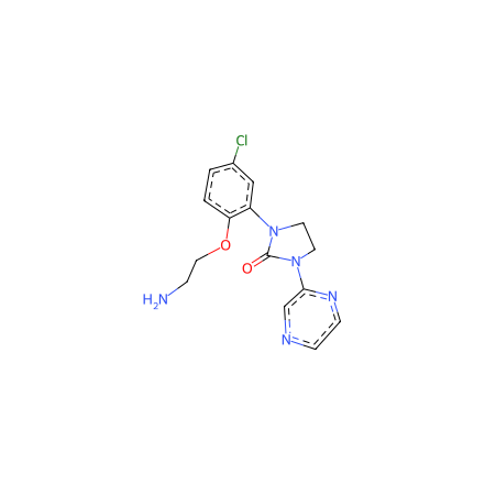 NCCOc1ccc(Cl)cc1N1CCN(c2cnccn2)C1=O